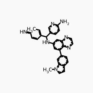 C/C=C(\C=C/C=N)C(Nc1cc(-c2ccc3ccn(C)c3c2)c2nccnc2c1)c1ccc(N)nc1